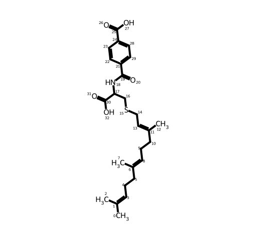 CC(C)=CCC/C(C)=C/CC/C(C)=C/CSCC(NC(=O)c1ccc(C(=O)O)cc1)C(=O)O